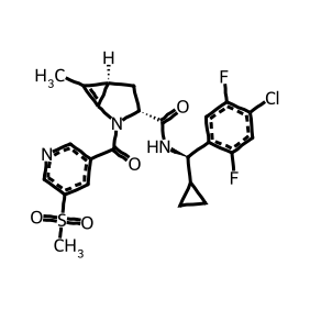 CC1=C2[C@@H]1C[C@H](C(=O)N[C@@H](c1cc(F)c(Cl)cc1F)C1CC1)N2C(=O)c1cncc(S(C)(=O)=O)c1